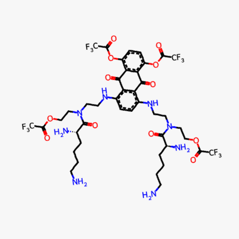 NCCCC[C@H](N)C(=O)N(CCNc1ccc(NCCN(CCOC(=O)C(F)(F)F)C(=O)[C@@H](N)CCCCN)c2c1C(=O)c1c(OC(=O)C(F)(F)F)ccc(OC(=O)C(F)(F)F)c1C2=O)CCOC(=O)C(F)(F)F